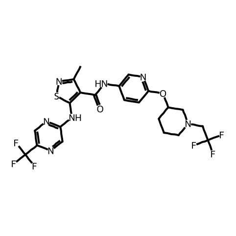 Cc1nsc(Nc2cnc(C(F)(F)F)cn2)c1C(=O)Nc1ccc(OC2CCCN(CC(F)(F)F)C2)nc1